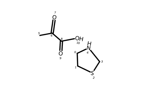 C1CSCN1.CC(=O)C(=O)O